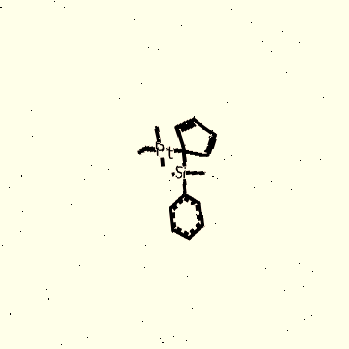 C[Si](C)(c1ccccc1)[C]1([Pt]([CH3])([CH3])[CH3])C=CC=C1